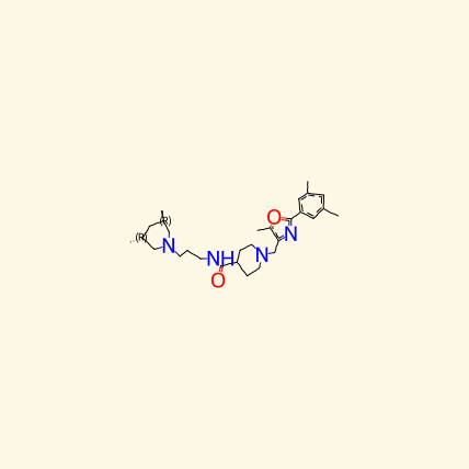 Cc1cc(C)cc(-c2nc(CN3CCC(C(=O)NCCCN4C[C@H](C)C[C@@H](C)C4)CC3)c(C)o2)c1